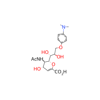 CC(=O)N[C@H]1[C@H]([C@H](O)[C@H](O)COc2ccc(N(C)C)cc2)OC(C(=O)O)=C[C@@H]1O